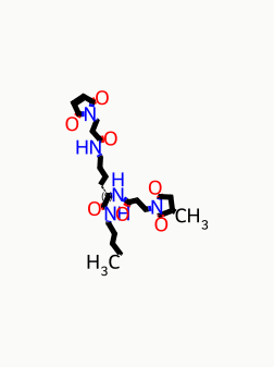 CCCCCNC(=O)[C@H](CCCCNC(=O)CCN1C(=O)C=CC1=O)NC(=O)CCN1C(=O)CC(C)C1=O